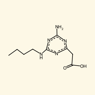 CCCCNc1nc(N)nc(CC(=O)O)n1